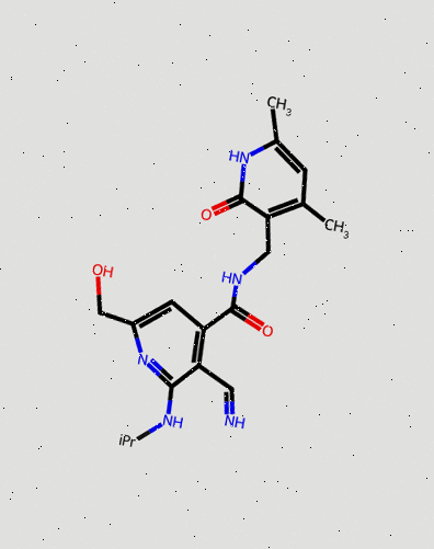 Cc1cc(C)c(CNC(=O)c2cc(CO)nc(NC(C)C)c2C=N)c(=O)[nH]1